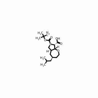 CC(C)C[C@@H]1CCO[C@@H]2[C@@H](C1)CN(C(=O)OC(C)(C)C)[C@@H]2C(=O)O